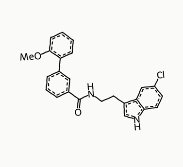 COc1ccccc1-c1cccc(C(=O)NCCc2c[nH]c3ccc(Cl)cc23)c1